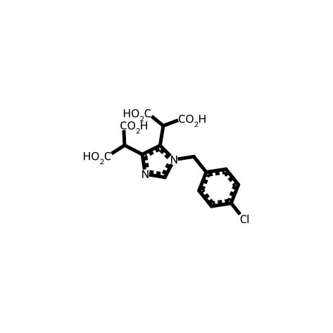 O=C(O)C(C(=O)O)c1ncn(Cc2ccc(Cl)cc2)c1C(C(=O)O)C(=O)O